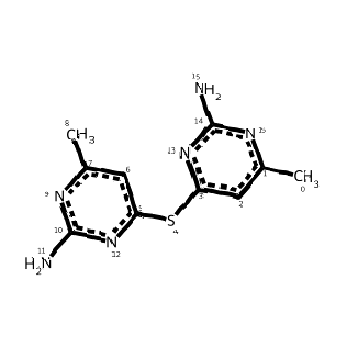 Cc1cc(Sc2cc(C)nc(N)n2)nc(N)n1